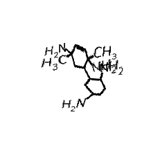 CC1(N)C=CC(C)(N)C(C2CC(N)CCC2N)C1